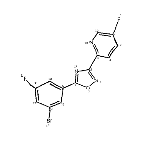 Fc1ccc(-c2noc(-c3cc(F)cc(Br)c3)n2)nc1